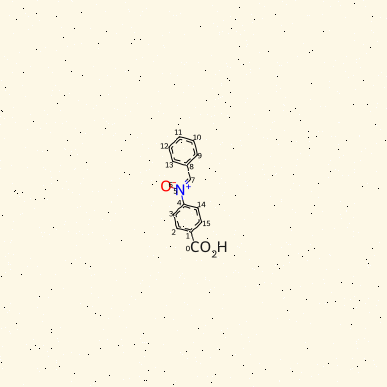 O=C(O)c1ccc([N+]([O-])=Cc2ccccc2)cc1